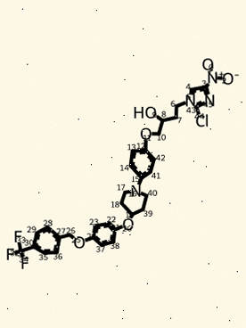 O=[N+]([O-])c1cn(CCC(O)COc2ccc(N3CCC(Oc4ccc(OCc5ccc(C(F)(F)F)cc5)cc4)CC3)cc2)c(Cl)n1